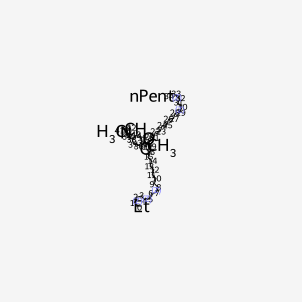 CC/C=C\C/C=C\C/C=C\CCCCCCCCOC(C)(OCCCCCCCC/C=C\C/C=C\CCCCC)c1ccc(CN(C)C)cc1